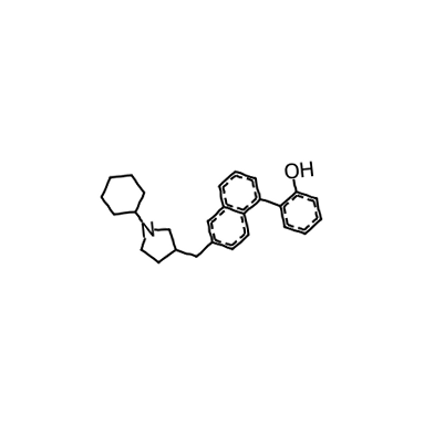 Oc1ccccc1-c1cccc2cc(CC3CCN(C4CCCCC4)C3)ccc12